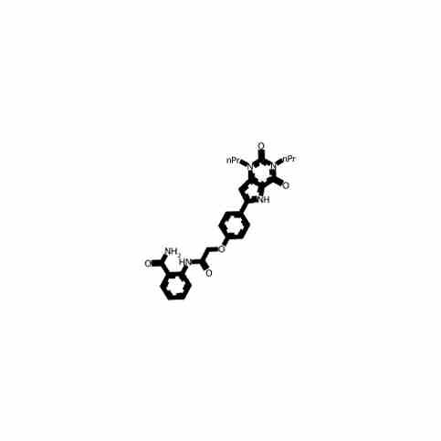 CCCn1c(=O)c2[nH]c(-c3ccc(OCC(=O)Nc4ccccc4C(N)=O)cc3)cc2n(CCC)c1=O